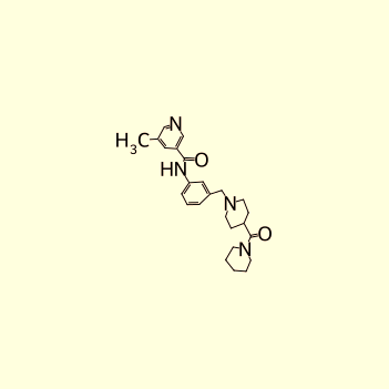 Cc1cncc(C(=O)Nc2cccc(CN3CCC(C(=O)N4CCCCC4)CC3)c2)c1